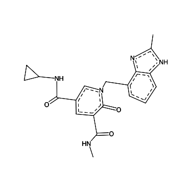 CNC(=O)c1cc(C(=O)NC2CC2)cn(Cc2cccc3[nH]c(C)nc23)c1=O